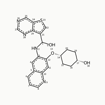 OC(Nc1cc2cccnc2cc1O[C@H]1CC[C@@H](O)CC1)c1csc2cncnc12